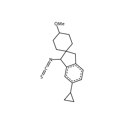 COC1CCC2(CC1)Cc1ccc(C3CC3)cc1C2N=C=S